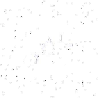 NC(=O)c1ccc(N2CCOCC2)nn1